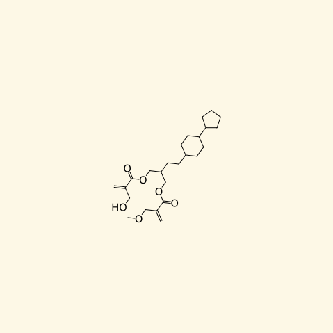 C=C(CO)C(=O)OCC(CCC1CCC(C2CCCC2)CC1)COC(=O)C(=C)COC